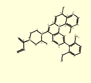 Bc1cccc(CC)c1-c1cc2c(cn1)C(N1CCN(C(=C)C=C)CC1C)=NC1=CC(C)c3nccc(C)c3N12